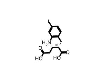 Nc1cc(I)ccc1C[C@@H](CCC(=O)O)C(=O)O